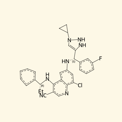 CC[C@@H](Nc1c(C#N)cnc2c(Cl)cc(N[C@H](C3=CN(C4CC4)NN3)c3cccc(F)c3)cc12)c1ccccc1